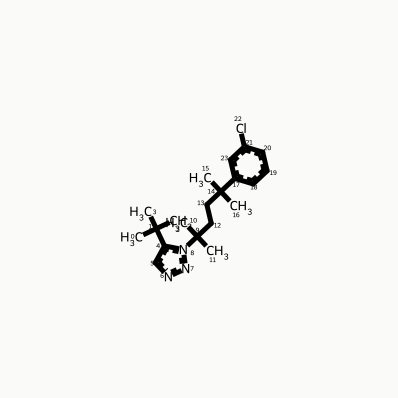 CC(C)(C)c1cnnn1C(C)(C)CCC(C)(C)c1cccc(Cl)c1